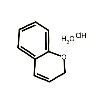 C1=Cc2ccccc2OC1.Cl.O